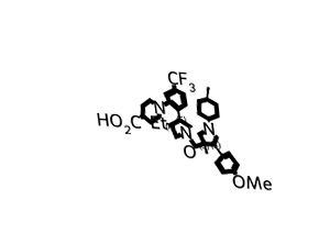 CC[C@H]1CN(C(=O)[C@]2(C)CN([C@H]3CC[C@H](C)CC3)C[C@H]2c2ccc(OC)cc2)C[C@@H]1c1ccc(C(F)(F)F)cc1N1CCC(C(=O)O)CC1